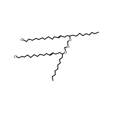 CCCCCCCCCC(CCC=CCCCCCCCCCCCl)OCOCOC(CCC=CCCCCCCCCCCCl)CCCCCCCCC